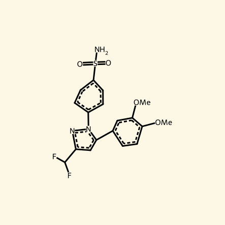 COc1ccc(-c2cc(C(F)F)nn2-c2ccc(S(N)(=O)=O)cc2)cc1OC